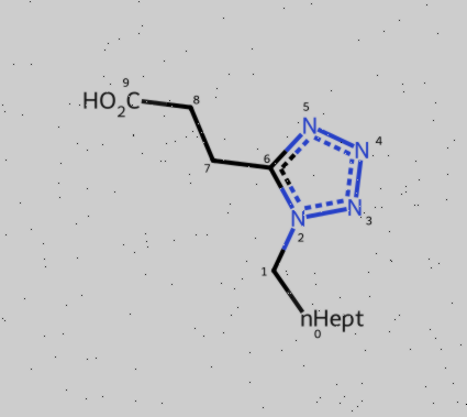 CCCCCCCCn1nnnc1CCC(=O)O